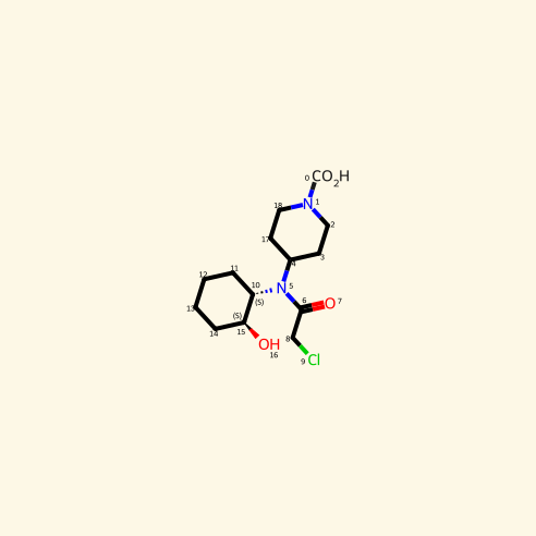 O=C(O)N1CCC(N(C(=O)CCl)[C@H]2CCCC[C@@H]2O)CC1